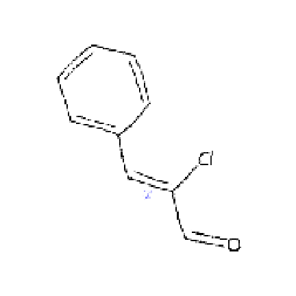 O=C/C(Cl)=C/c1ccccc1